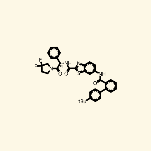 CC(C)(C)c1ccc(-c2ccccc2C(=O)Nc2ccc3nc(C(=O)N[C@H](C(=O)N4CCC(F)(F)C4)c4ccccc4)sc3c2)cc1